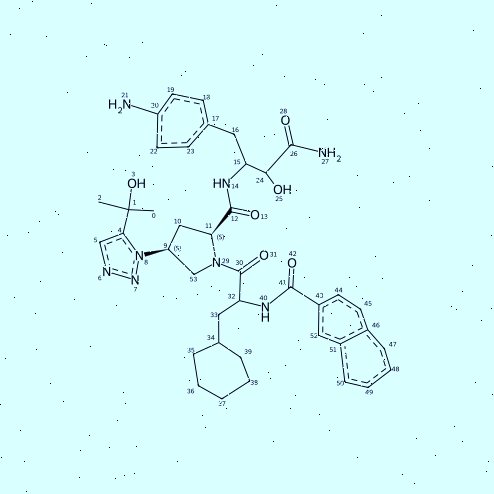 CC(C)(O)c1cnnn1[C@H]1C[C@@H](C(=O)NC(Cc2ccc(N)cc2)C(O)C(N)=O)N(C(=O)C(CC2CCCCC2)NC(=O)c2ccc3ccccc3c2)C1